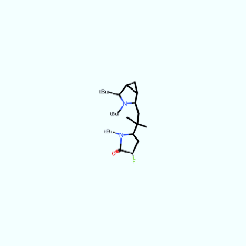 CC(C)(C)C1C2CC2C(CC(C)(C)C2CC(F)C(=O)N2C(C)(C)C)N1C(C)(C)C